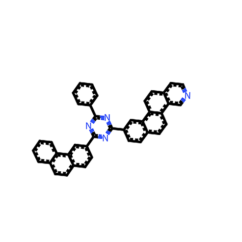 c1ccc(-c2nc(-c3ccc4ccc5ccccc5c4c3)nc(-c3ccc4ccc5c6cnccc6ccc5c4c3)n2)cc1